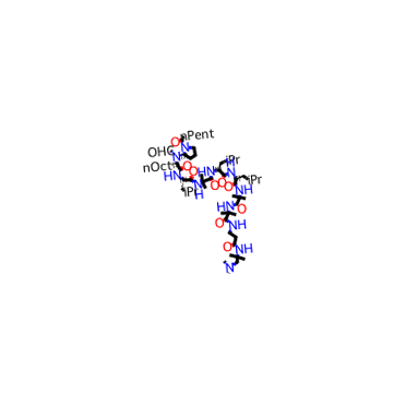 CCCCCCCC[C@@H](C(=O)N[C@@H](CC(C)C)C(=O)NC(C)(C)C(=O)N[C@@H](CC(C)C)C(=O)N[C@@H](CC(C)C)C(=O)NC(C)(C)C(=O)NC(C)(C)C(=O)NCCC(=O)NC(C)(C)CN(C)C)N(C=O)[C@@H]1CCCN1C(=O)CCCCC